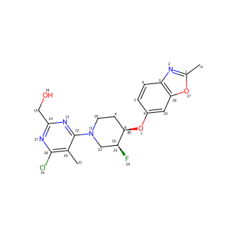 Cc1nc2ccc(O[C@@H]3CCN(c4nc(CO)nc(Cl)c4C)C[C@@H]3F)cc2o1